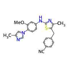 COc1cc(Nc2nc(C)c(Cc3ccc(C#N)cc3)s2)ccc1-n1cnc(C)c1